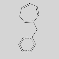 C1=CCC=C(Cc2ccccc2)C=C1